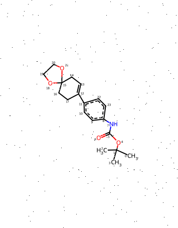 CC(C)(C)OC(=O)Nc1ccc(C2=CCC3(CC2)OCCO3)cc1